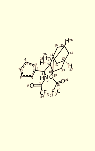 O=C(N[C@@H](c1ccccc1)[C@H]1[C@@H]2C[C@H]3C[C@@H](C2)C[C@]1(OC(=O)C(F)(F)F)C3)C(F)(F)F